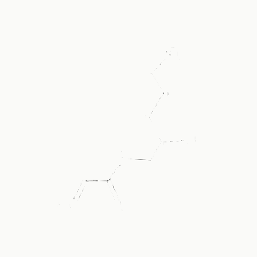 C=CC(=O)OCC(C)CCCN